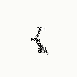 Cc1ccccc1Nc1nc2ccc(CC(=O)N3C[C@@H](F)C[C@H]3COCCCCCC(=O)O)cc2o1